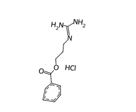 Cl.NC(N)=NCCCOC(=O)c1ccccc1